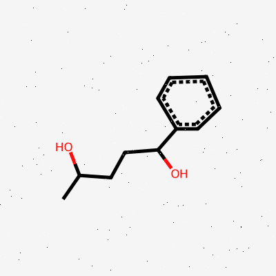 CC(O)CCC(O)c1ccccc1